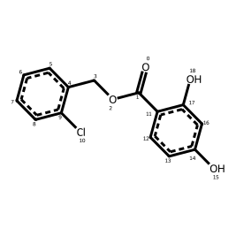 O=C(OCc1ccccc1Cl)c1ccc(O)cc1O